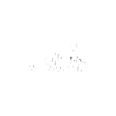 COc1ccc(C(=O)N2CC[C@@H](NC(=O)c3ncccc3C(F)(F)F)[C@@H](c3ccccc3)C2)nc1OC